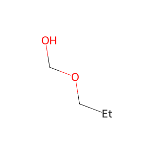 CCCOCO